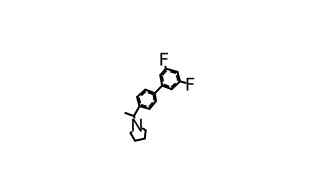 CC(c1ccc(-c2cc(F)cc(F)c2)cc1)N1CCCC1